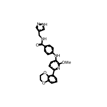 COc1nc(-c2cccc3c2OCCO3)ccc1Nc1ccc(C(=O)NCc2cn[nH]c2)cc1